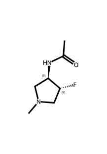 CC(=O)N[C@@H]1CN(C)C[C@H]1F